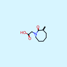 C=C1CCCCCN(CC(=O)O)C1=O